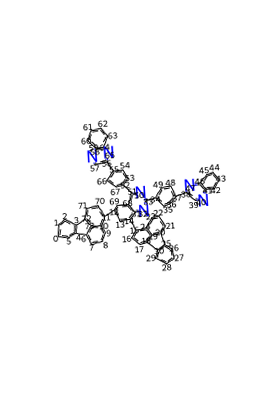 c1ccc2c(c1)-c1cccc3c(-c4cc(-c5ccc6c7c(cccc57)-c5ccccc5-6)c5nc(-c6ccc(-c7cnc8ccccc8n7)cc6)nc(-c6ccc(-c7cnc8ccccc8n7)cc6)c5c4)ccc-2c13